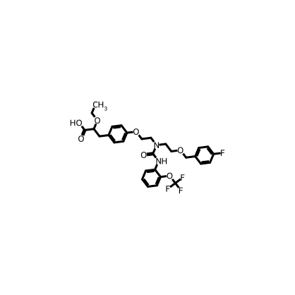 CCOC(Cc1ccc(OCCN(CCOCc2ccc(F)cc2)C(=O)Nc2ccccc2OC(F)(F)F)cc1)C(=O)O